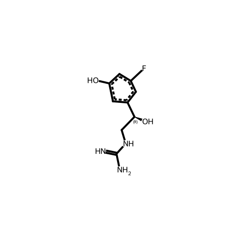 N=C(N)NC[C@H](O)c1cc(O)cc(F)c1